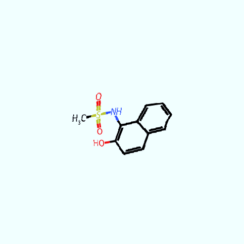 CS(=O)(=O)Nc1c(O)ccc2ccccc12